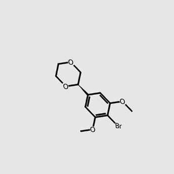 COc1cc([C@@H]2COCCO2)cc(OC)c1Br